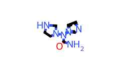 NC(=O)N(N1CCNC1)n1ccnc1